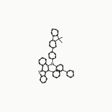 CC1(C)c2ccccc2-c2ccc(-c3ccc(N(c4ccc(-c5ccccc5)cc4)c4c(-c5ccccc5)c5c6ccccc6sc5c5ccccc45)cc3)cc21